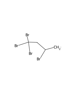 [CH2]C(Br)CC(Br)(Br)Br